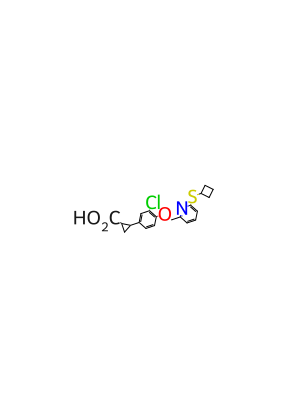 O=C(O)C1CC1c1ccc(OCc2cccc(SC3CCC3)n2)c(Cl)c1